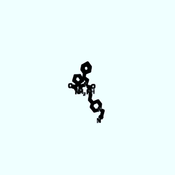 N#CCN1CCC(CCNC(=O)N(CCc2ccccc2)C(=O)C2(C(N)=O)CCCC2)CC1